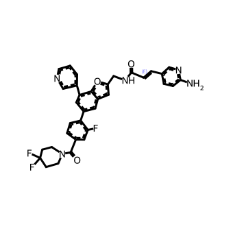 Nc1ccc(/C=C/C(=O)NCc2cc3cc(-c4ccc(C(=O)N5CCC(F)(F)CC5)cc4F)cc(-c4cccnc4)c3o2)cn1